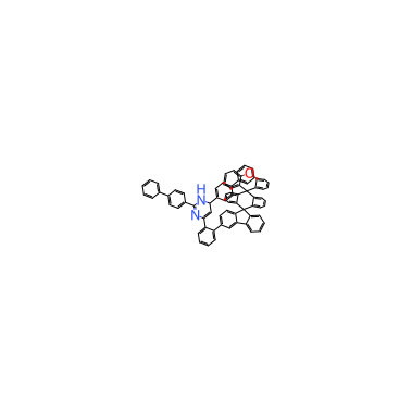 C1=C(c2ccccc2-c2ccc3c(c2)-c2ccccc2C32c3ccccc3C3(c4ccccc4Oc4ccccc43)c3ccccc32)N=C(c2ccc(-c3ccccc3)cc2)NC1c1ccc(-c2ccccc2)cc1